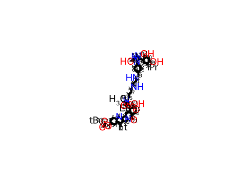 CCc1c2c(nc3ccc(OC(=O)OC(C)(C)C)cc13)-c1cc3c(c(=O)n1C2)COC(O)C3(CC)OC(=O)N(C)CCCCNCCNCc1ccc(-n2c(O)nnc2-c2cc(C(C)C)c(O)cc2O)cc1